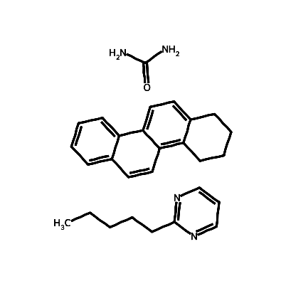 CCCCCc1ncccn1.NC(N)=O.c1ccc2c(c1)ccc1c3c(ccc12)CCCC3